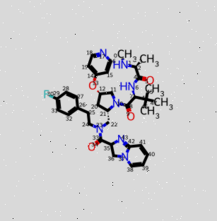 CN[C@@H](C)C(=O)N[C@H](C(=O)N1C[C@@H](Oc2ccncc2)C[C@H]1CN(CCc1ccc(F)cc1)C(=O)C1CN2C=CC=CC2=N1)C(C)(C)C